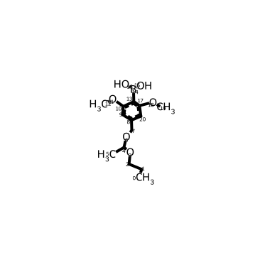 CCCOC(C)OCc1cc(OC)c(B(O)O)c(OC)c1